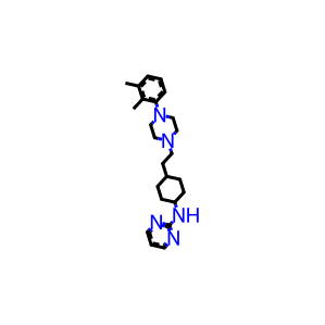 Cc1cccc(N2CCN(CCC3CCC(Nc4ncccn4)CC3)CC2)c1C